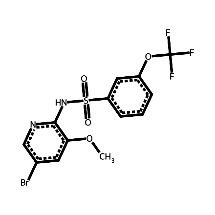 COc1cc(Br)cnc1NS(=O)(=O)c1cccc(OC(F)(F)F)c1